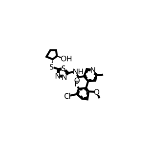 COc1ccc(Cl)c(F)c1-c1cc(C)ncc1C(=O)Nc1nnc(S[C@@H]2CCC[C@H]2O)s1